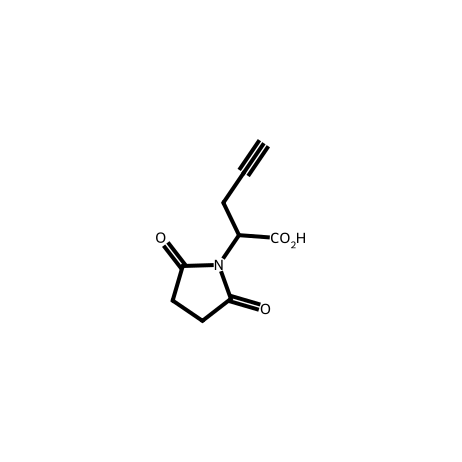 C#CCC(C(=O)O)N1C(=O)CCC1=O